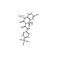 CN1C(=O)C(C(=O)Nc2ccc(C(F)(F)F)cc2)S(=O)(=O)c2cc(F)ccc21